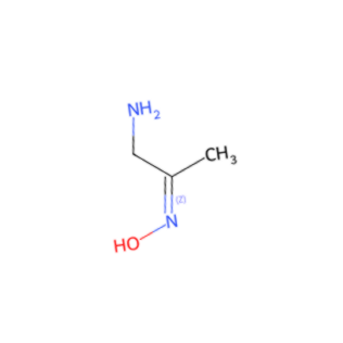 C/C(CN)=N/O